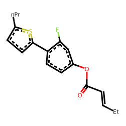 CCC=CC(=O)Oc1ccc(-c2ccc(CCC)s2)c(F)c1